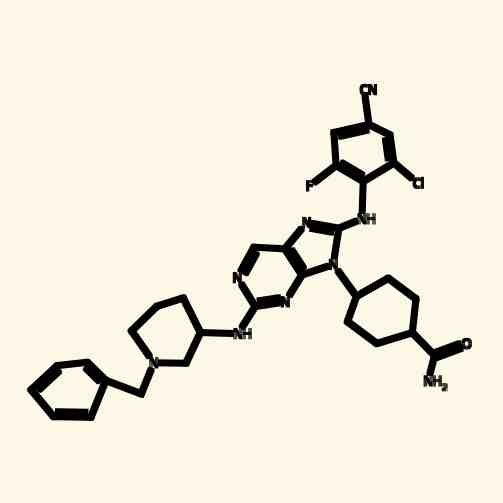 N#Cc1cc(F)c(Nc2nc3cnc(NC4CCCN(Cc5ccccc5)C4)nc3n2C2CCC(C(N)=O)CC2)c(Cl)c1